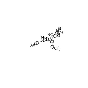 CC(=O)N1CCC(CCNCc2cc(-c3cc(-c4cccc(C(F)(F)F)c4)ccc3Oc3ccc(S(=O)(=O)Nc4ncns4)cc3C#N)ccn2)CC1